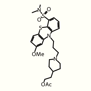 COc1ccc2c(c1)N(CCCN1CCC(CCOC(C)=O)CC1)c1cccc(S(=O)(=O)N(C)C)c1S2